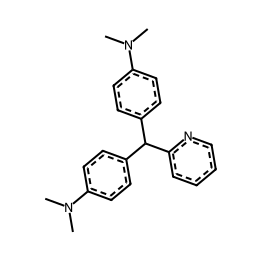 CN(C)c1ccc(C(c2ccc(N(C)C)cc2)c2ccccn2)cc1